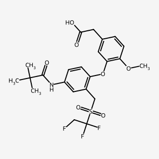 COc1ccc(CC(=O)O)cc1Oc1ccc(NC(=O)C(C)(C)C)cc1CS(=O)(=O)C(F)(F)CF